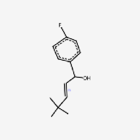 CC(C)(C)/C=C/C(O)c1ccc(F)cc1